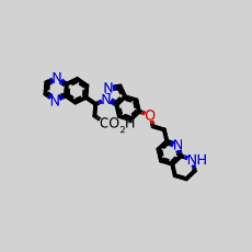 O=C(O)CC(c1ccc2nccnc2c1)n1ncc2cc(OCCc3ccc4c(n3)NCCC4)ccc21